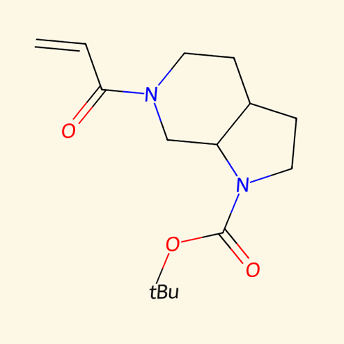 C=CC(=O)N1CCC2CCN(C(=O)OC(C)(C)C)C2C1